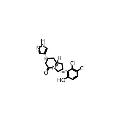 O=C1C[C@H](c2cn[nH]c2)C[C@@H]2C[C@H](c3c(O)ccc(Cl)c3Cl)CN12